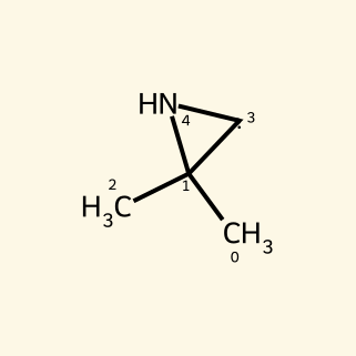 CC1(C)[CH]N1